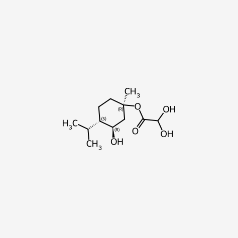 CC(C)[C@@H]1CC[C@@](C)(OC(=O)C(O)O)C[C@H]1O